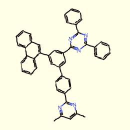 Cc1cc(C)nc(-c2ccc(-c3cc(-c4nc(-c5ccccc5)nc(-c5ccccc5)n4)cc(-c4cc5ccccc5c5ccccc45)c3)cc2)n1